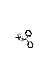 CCCC(C)(C)O[SiH2]P(c1ccccc1)c1ccccc1